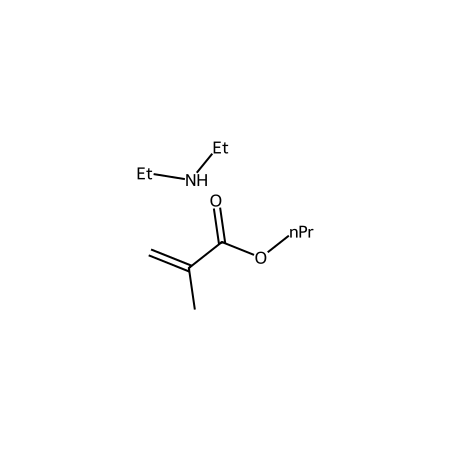 C=C(C)C(=O)OCCC.CCNCC